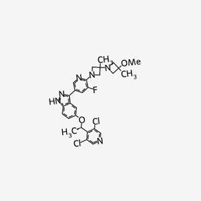 COC1(C)CN(C2(C)CN(c3ncc(-c4n[nH]c5ccc(O[C@H](C)c6c(Cl)cncc6Cl)cc45)cc3F)C2)C1